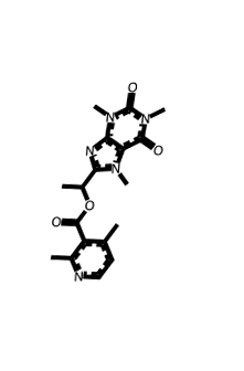 Cc1ccnc(C)c1C(=O)OC(C)c1nc2c(c(=O)n(C)c(=O)n2C)n1C